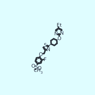 CCc1cnc(O[C@H]2CC[C@H](c3nc(COc4ccc(S(C)(=O)=O)cc4F)cs3)CC2)nc1